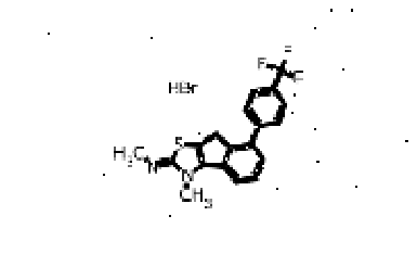 Br.CN=c1sc2c(n1C)-c1cccc(-c3ccc(C(F)(F)F)cc3)c1C2